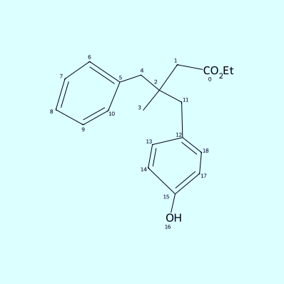 CCOC(=O)CC(C)(Cc1ccccc1)Cc1ccc(O)cc1